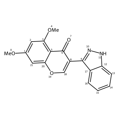 COc1cc(OC)c2c(=O)c(-c3n[nH]c4ccccc34)coc2c1